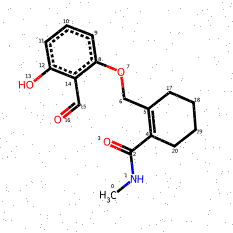 CNC(=O)C1=C(COc2cccc(O)c2C=O)CCCC1